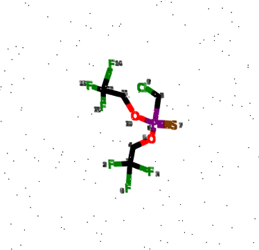 FC(F)(F)COP(=S)(CCl)OCC(F)(F)F